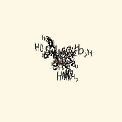 CC[C@H](C)[C@H](NC(=O)[C@H](CCC(=O)O)NC(=O)CN)C(=O)N[C@@H](CCCNC(=N)N)C(=O)N[C@@H](Cc1ccc(O)cc1)C(=O)N[C@@H](CCC(=O)O)C(=O)N[C@@H](Cc1ccc(O)cc1)C(=O)N[C@@H](Cc1ccccc1)C(=O)O